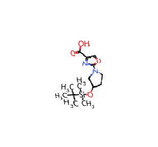 CC(C)(C)[Si](C)(C)OC1CCN(c2nc(C(=O)O)co2)C1